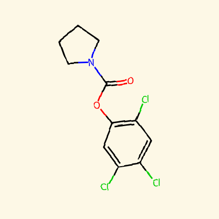 O=C(Oc1cc(Cl)c(Cl)cc1Cl)N1CCCC1